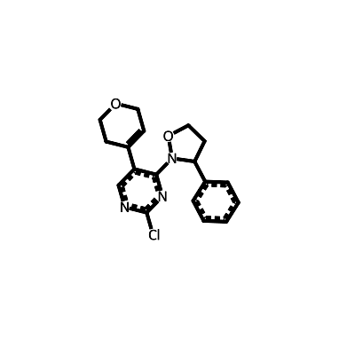 Clc1ncc(C2=CCOCC2)c(N2OCCC2c2ccccc2)n1